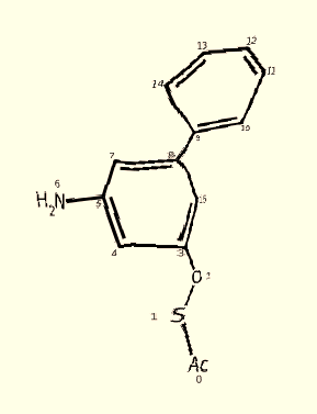 CC(=O)SOc1cc(N)cc(-c2ccccc2)c1